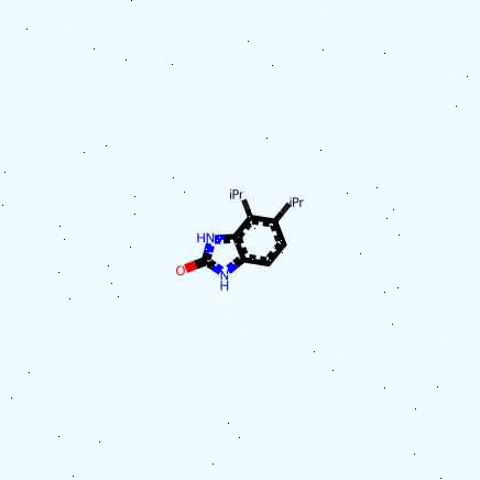 CC(C)c1ccc2[nH]c(=O)[nH]c2c1C(C)C